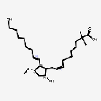 CO[C@H]1C[C@@H](O)C(C/C=C\CCCCCC(C)(C)C(=O)O)[C@@H]1/C=C/CCCCCCO